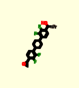 CCCC(O)c1ccc(C2CCC(c3ccc(C4CO4)c(F)c3F)CC2)c(F)c1F